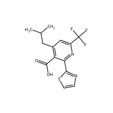 CC(C)Cc1cc(C(F)(F)F)nc(-c2nccs2)c1C(=O)O